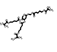 C=C(C)C(=O)OCCCCC(=O)OCSC1C[C@H](OC(=O)CCCCOC(=O)C(=C)C)[C@H](OC(=O)CCCCOC(=O)C(=C)C)CO1